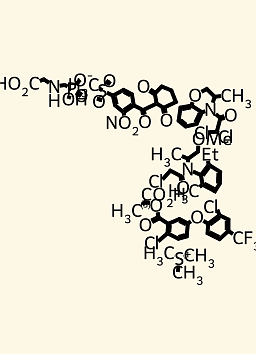 CC1COc2ccccc2N1C(=O)C(Cl)Cl.CCc1cccc(C)c1N(C(=O)CCl)C(C)COC.CS(=O)(=O)c1ccc(C(=O)C2C(=O)CCCC2=O)c([N+](=O)[O-])c1.C[C@H](OC(=O)c1cc(Oc2ccc(C(F)(F)F)cc2Cl)ccc1Cl)C(=O)O.C[S+](C)C.O=C(O)CNCP(=O)([O-])O